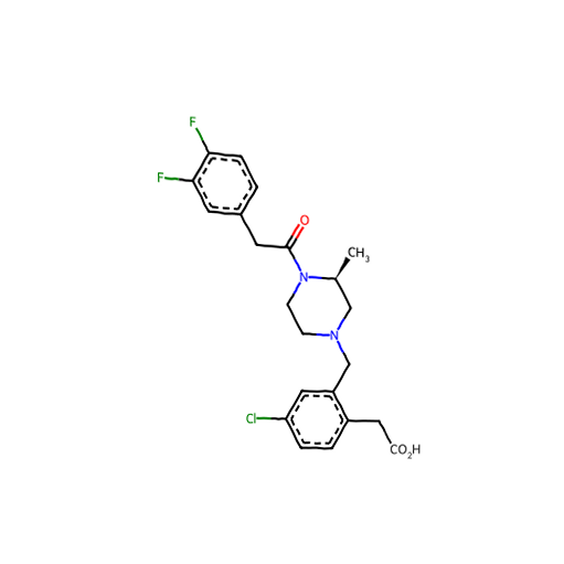 C[C@H]1CN(Cc2cc(Cl)ccc2CC(=O)O)CCN1C(=O)Cc1ccc(F)c(F)c1